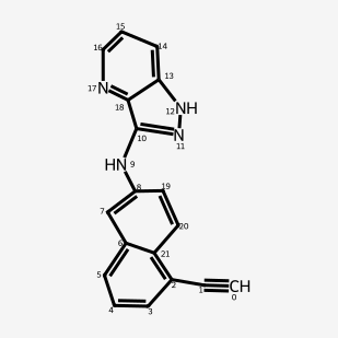 C#Cc1cccc2cc(Nc3n[nH]c4cccnc34)ccc12